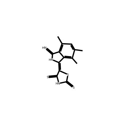 Cc1cc(C)c2c(c1C)C(=C1SC(=S)NC1=S)NC2=N